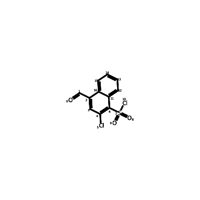 O=Cc1cc(Cl)c(S(=O)(=O)Cl)c2ccccc12